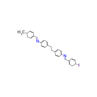 CC1C=CC(/C=N/c2ccc(CCc3ccc(/N=C/C4=CCC(I)C=C4)cc3)cc2)=CC1